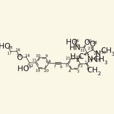 C=C(c1ccc(C#Cc2ccc(C(O)COCCO)cc2)cc1)N(C)[C@@](C)(C(=O)NC)C(=O)NO